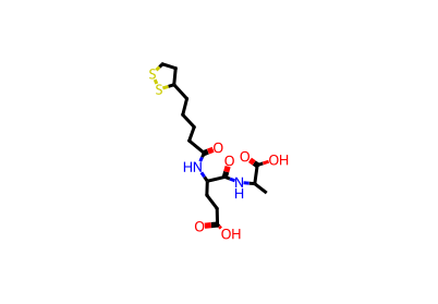 CC(NC(=O)C(CCC(=O)O)NC(=O)CCCCC1CCSS1)C(=O)O